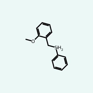 COc1ccccc1C[SiH2]c1ccccc1